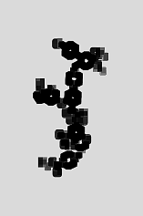 CC(=O)N1CCN(C[C@H]2COc3cc(S(=O)(=O)NC(=O)c4ccc(N5CCN(CC6=C(c7ccc(Cl)cc7)CC(C)(C)CC6)CC5)cc4Oc4cnc5[nH]ccc5c4)cc([N+](=O)[O-])c3N2)CC1